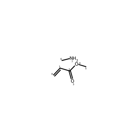 C=CC(=O)OC.CN